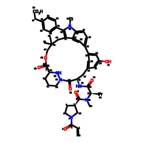 C=CC(=O)N1CC[C@H](C(=O)N(C)[C@H](C(=O)N[C@H]2Cc3cc(O)cc(c3)-c3ccc4c(c3)c(c(-c3ccc(CC(=O)O)cc3)n4CC)CC(C)(C)COC(=O)[C@@H]3CCCN(N3)C2=O)C(C)C)C1